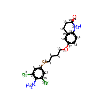 Nc1c(Br)cc(SCCCCOc2ccc3c(c2)CCC(=O)N3)cc1Br